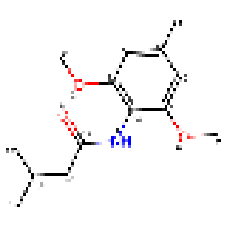 COc1cc(C)cc(OC)c1NC(=O)CC(C)C